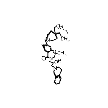 CCC1(CC)CCN(Cc2ccc3c(c2)OC(C)CN(CC(O)CN2CCc4ccccc4C2)C3=O)CC1